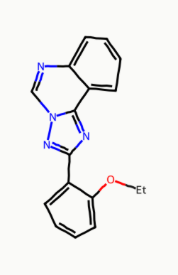 CCOc1ccccc1-c1nc2c3ccccc3ncn2n1